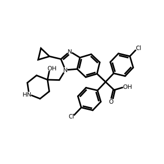 O=C(O)C(c1ccc(Cl)cc1)(c1ccc(Cl)cc1)c1ccc2nc(C3CC3)n(CC3(O)CCNCC3)c2c1